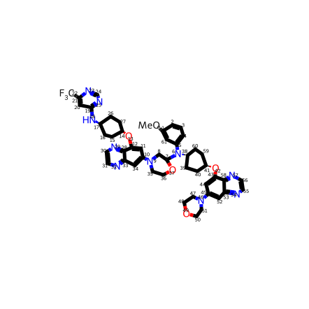 COc1cccc(N(C2CN(c3cc(O[C@H]4CC[C@@H](Nc5cc(C(F)(F)F)ncn5)CC4)c4nccnc4c3)CCO2)[C@H]2CC[C@@H](Oc3cc(N4CCOCC4)cc4nccnc34)CC2)c1